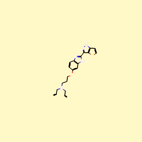 C=CCN(CC=C)CCCOc1ccc2nc(-c3n[nH]c4ccsc34)[nH]c2c1